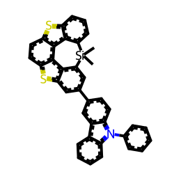 C[Si]1(C)c2cccc3sc4ccc5sc6cc(-c7ccc8c(c7)c7ccccc7n8-c7ccccc7)cc1c6c5c4c23